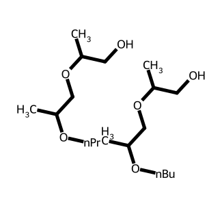 CCCCOC(C)COC(C)CO.CCCOC(C)COC(C)CO